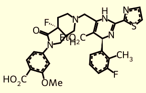 CCOC(=O)C1=C(CN2CC[C@]3(F)C(=O)N(c4ccc(C(=O)O)c(OC)c4)C[C@@H]3C2)NC(c2nccs2)=N[C@H]1c1cccc(F)c1C